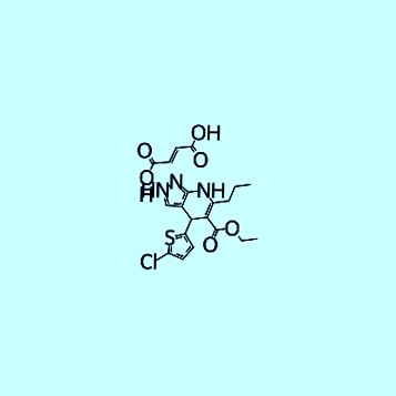 CCCC1=C(C(=O)OCC)C(c2ccc(Cl)s2)c2c[nH]nc2N1.O=C(O)C=CC(=O)O